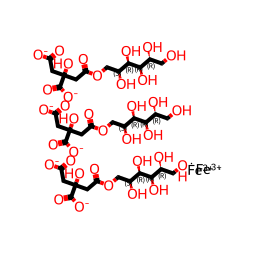 O=C([O-])CC(O)(CC(=O)OC[C@H](O)[C@@H](O)[C@H](O)[C@H](O)CO)C(=O)[O-].O=C([O-])CC(O)(CC(=O)OC[C@H](O)[C@@H](O)[C@H](O)[C@H](O)CO)C(=O)[O-].O=C([O-])CC(O)(CC(=O)OC[C@H](O)[C@@H](O)[C@H](O)[C@H](O)CO)C(=O)[O-].[Fe+3].[Fe+3]